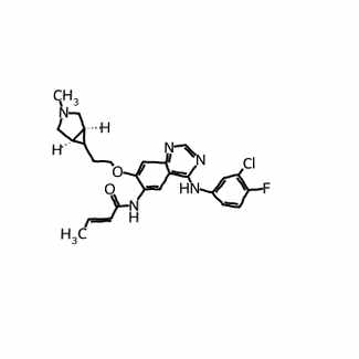 C/C=C/C(=O)Nc1cc2c(Nc3ccc(F)c(Cl)c3)ncnc2cc1OCCC1[C@H]2CN(C)C[C@@H]12